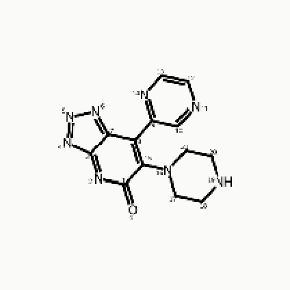 O=C1N=C2N=NN=C2C(c2cnccn2)=C1N1CCNCC1